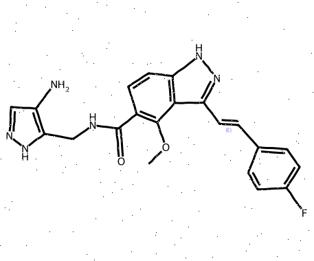 COc1c(C(=O)NCc2[nH]ncc2N)ccc2[nH]nc(/C=C/c3ccc(F)cc3)c12